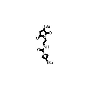 CC(C)(C)C1CN(C(=O)NCCN2C(=O)CC(C(C)(C)C)C2=O)C1